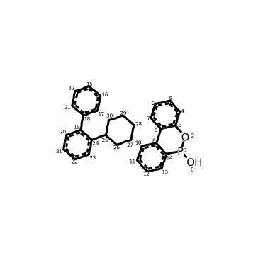 OP1Oc2ccccc2-c2ccccc21.c1ccc(-c2ccccc2C2CCCCC2)cc1